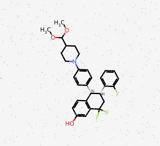 COC(OC)C1CCN(c2ccc([C@H]3c4ccc(O)cc4C(F)(F)C[C@H]3c3ccccc3F)cc2)CC1